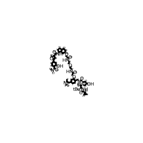 Cc1ncsc1-c1ccc(CNC(=O)[C@@H]2C[C@@H](O)CN2C(=O)[C@@H](NC(=O)C2(F)CC2)C(C)(C)C)c(OCC(=O)NCCOCCNC(=O)COc2ccc3c(c2)[C@H](NC(=O)c2cc(-c4ccc(C(=O)N(C)C)c(O)c4)on2)CC3)c1